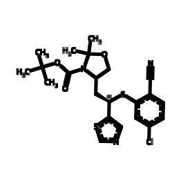 CC(C)(C)OC(=O)N1C(C[C@@H](Sc2cc(Cl)ccc2C#N)c2cncs2)COC1(C)C